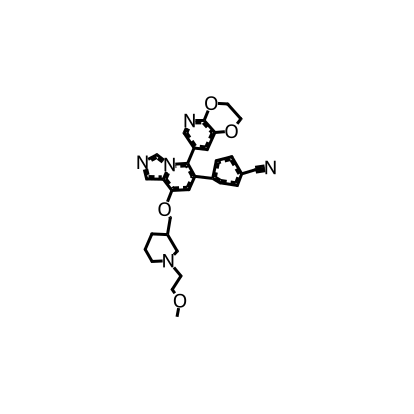 COCCN1CCCC(COc2cc(-c3ccc(C#N)cc3)c(-c3cnc4c(c3)OCCO4)n3cncc23)C1